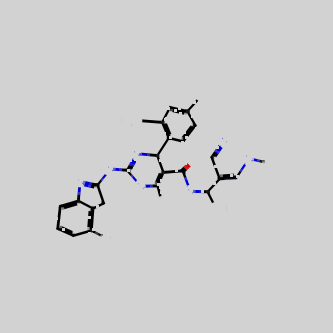 CCN/C=C(\C=N)C(C)NC(=O)C1=C(C)NC(NC2=Nc3cccc(CC)c3C2)=NC1c1ccc(C)cc1C